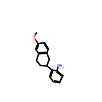 COc1ccc2c(c1)CCC(c1ccccc1N)C2